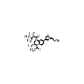 CC(=O)N1c2ccc(-c3cnn(CCO)c3)cc2N(C(=O)N(C)C(C)C)C[C@@H]1C